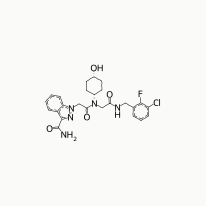 NC(=O)c1nn(CC(=O)N(CC(=O)NCc2cccc(Cl)c2F)[C@H]2CC[C@@H](O)CC2)c2ccccc12